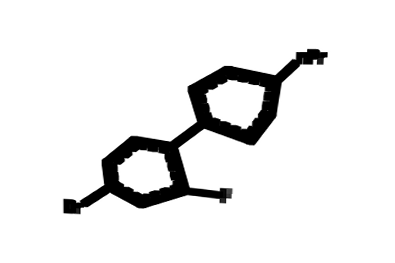 CCCc1ccc(-c2ccc(Br)cc2F)cc1